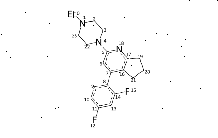 CCN1CCN(c2cc(-c3ccc(F)cc3F)c3c(n2)CCC3)CC1